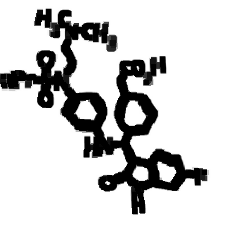 CCCS(=O)(=O)N(CCN(C)C)c1ccc(N/C(=C2\C(=O)Nc3cc(F)ccc32)c2cccc(CC(=O)O)c2)cc1